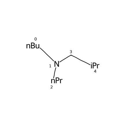 CCCCN(CCC)CC(C)C